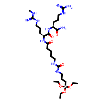 CCO[Si](CCCNC(=O)NCCCCC(=O)N[C@@H](CCCNC(=N)NC)C(=O)N[C@@H](CCCNC(=N)N)C(N)=O)(OCC)OCC